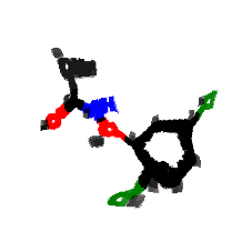 COC(=O)NOc1cc(Cl)ccc1Cl